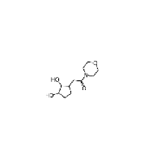 O=C(CC1CCC(O)C1O)N1CCOCC1